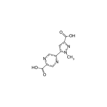 Cn1nc(C(=O)O)cc1-c1cnc(C(=O)O)cn1